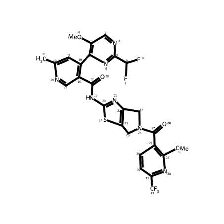 COc1cnc(C(F)F)nc1-c1cc(C)ncc1C(=O)Nc1nc2c(s1)CN(C(=O)c1ccc(C(F)(F)F)nc1OC)C2